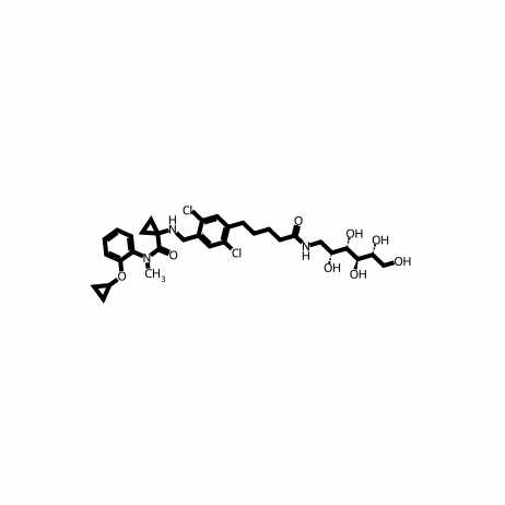 CN(C(=O)C1(NCc2cc(Cl)c(CCCCC(=O)NC[C@@H](O)[C@H](O)[C@H](O)[C@H](O)CO)cc2Cl)CC1)c1ccccc1OC1CC1